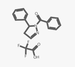 O=C(O)C(F)(F)F.O=C(c1ccccc1)N1N=CCC1c1ccccc1